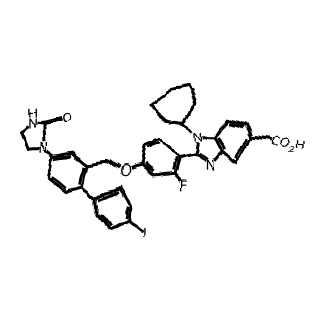 O=C(O)c1ccc2c(c1)nc(-c1ccc(OCc3cc(N4CCNC4=O)ccc3-c3ccc(I)cc3)cc1F)n2C1CCCCC1